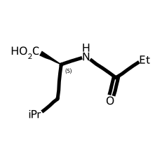 CCC(=O)N[C@@H](CC(C)C)C(=O)O